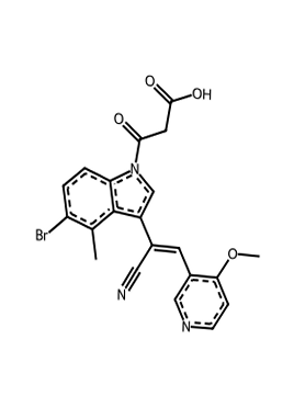 COc1ccncc1C=C(C#N)c1cn(C(=O)CC(=O)O)c2ccc(Br)c(C)c12